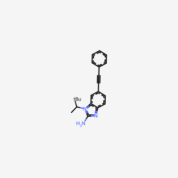 CC(n1c(N)nc2ccc(C#Cc3ccccc3)cc21)C(C)(C)C